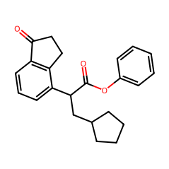 O=C1CCc2c1cccc2C(CC1CCCC1)C(=O)Oc1ccccc1